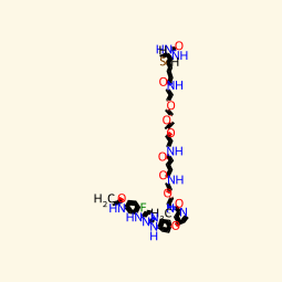 C=CC(=O)Nc1cccc(Nc2nc(Nc3ccc(Oc4ccnc(C(=O)N(C)CCOCCNC(=O)CCCC(=O)NCCCOCCOCCOCCCNC(=O)CCCC5SC[C@@H]6NC(=O)N[C@H]56)c4)cc3)ncc2F)c1